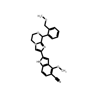 COCc1ccccc1C1OCCn2cc(-c3cc4c(OC)c(C#N)ccc4[nH]3)nc21